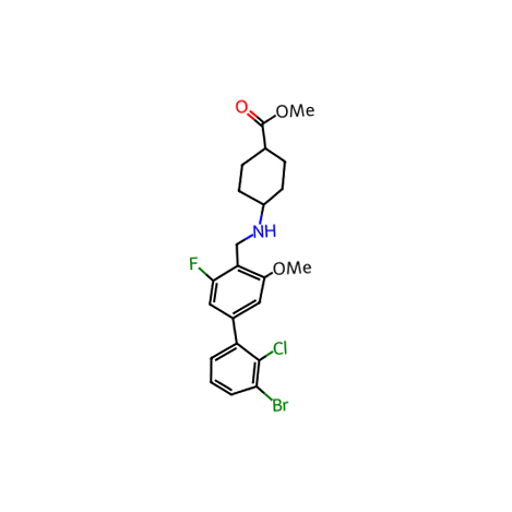 COC(=O)C1CCC(NCc2c(F)cc(-c3cccc(Br)c3Cl)cc2OC)CC1